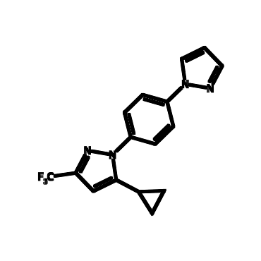 FC(F)(F)c1cc(C2CC2)n(-c2ccc(-n3cccn3)cc2)n1